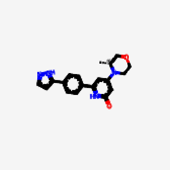 C[C@@H]1COCCN1c1cc(-c2ccc(-c3ccn[nH]3)cc2)[nH]c(=O)c1